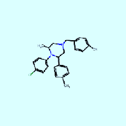 Cc1ccc(C2CN(Cc3ccc(C#N)cc3)CC(C)N2c2ccc(Cl)cc2)cc1